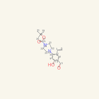 C=Cc1cc(C=O)c(O)cc1N1CCN(C(=O)OC(C)(C)C)CC1